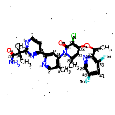 Cc1cnc(-c2ccnc(C(C)(C)C(N)=O)n2)cc1-n1c(C)cc(OC(C)c2ncc(F)cc2F)c(Cl)c1=O